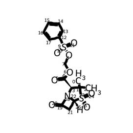 CC1(C)[C@H](C(=O)OCOS(=O)(=O)c2ccccc2)N2C(=O)C[C@H]2S1(=O)=O